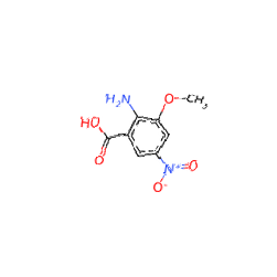 COc1cc([N+](=O)[O-])cc(C(=O)O)c1N